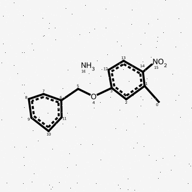 Cc1cc(OCc2ccccc2)ccc1[N+](=O)[O-].N